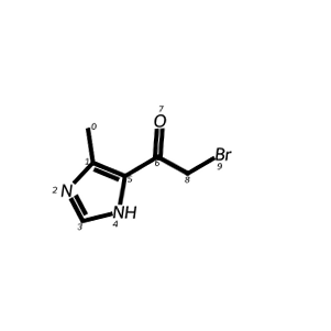 Cc1nc[nH]c1C(=O)CBr